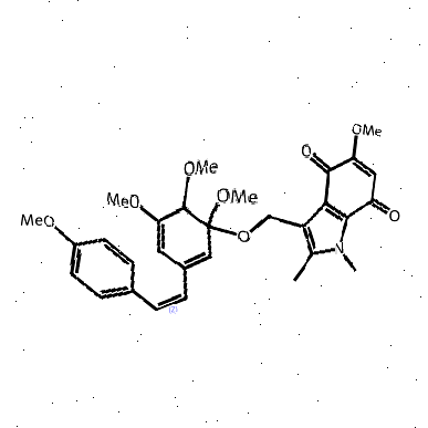 COC1=CC(=O)c2c(c(COC3(OC)C=C(/C=C\c4ccc(OC)cc4)C=C(OC)C3OC)c(C)n2C)C1=O